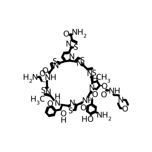 Cc1sc2nc1C(=O)N[C@@H]([C@H](O)c1ccccc1)c1nc(cs1)C(=O)N[C@@H](Cc1ccc(O)c(N)c1)C(=O)N1C[C@H](OC(=O)NCCN3CCOCC3)[C@H](C)[C@H]1c1nc(cs1)-c1nc(cs1)-c1nc(-c3nc(C(N)=O)cs3)ccc1-c1nc(cs1)C(=O)N[C@H]2CC(N)=O